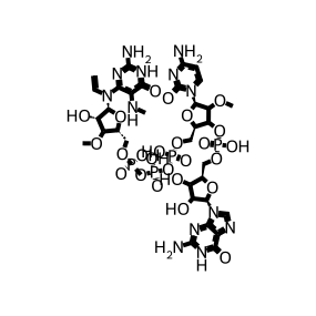 C=CN(c1nc(N)[nH]c(=O)c1NC)[C@@H]1O[C@H](COP(=O)(O)OP(=O)(O)OP(=O)(O)OC[C@H]2O[C@@H](n3ccc(N)nc3=O)C(OC)C2OP(=O)(O)OC[C@H]2O[C@@H](n3cnc4c(=O)[nH]c(N)nc43)C(O)C2O)C(OC)[C@@H]1O